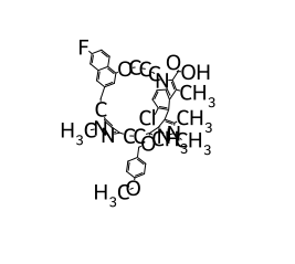 COc1ccc(COC2(C)CCc3cc(n(C)n3)CCc3cc(c4ccc(F)cc4c3)OCCCn3c(C(=O)O)c(C)c4c(c(Cl)ccc43)-c3c2nn(C)c3C)cc1